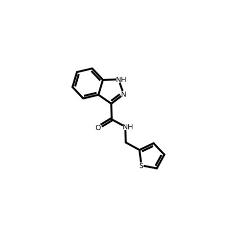 O=C(NCc1cccs1)c1n[nH]c2ccccc12